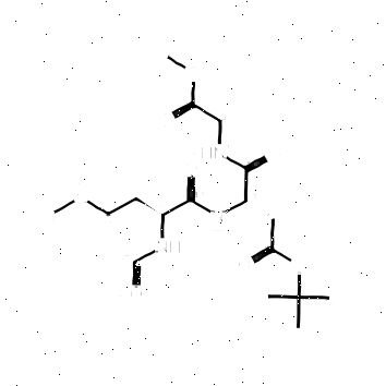 COC(=O)CNC(=O)[C@H](CC(=O)OC(C)(C)C)NC(=O)[C@H](CCSC)NC=O